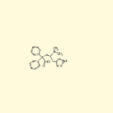 CCC(=O)C(C[C@H](Cc1c[nH]cn1)N(C)C)(c1ccccc1)c1ccccc1